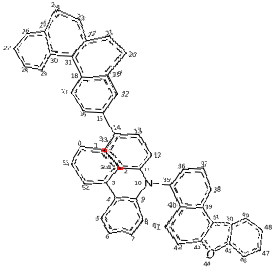 c1ccc(-c2ccccc2N(c2ccc(-c3ccc4c(ccc5ccc6ccccc6c54)c3)cc2)c2cccc3c2ccc2oc4ccccc4c23)cc1